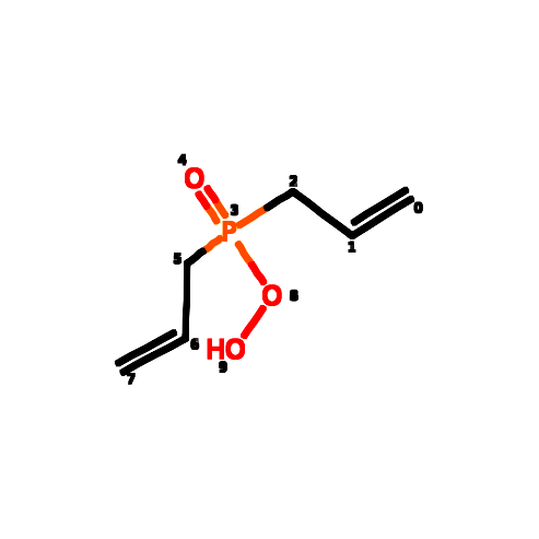 C=CCP(=O)(CC=C)OO